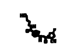 N#C[C@@H]1C[C@H](F)CN1C(=O)CNC12CCC(C(=O)NCCCCO)(CC1)CC2